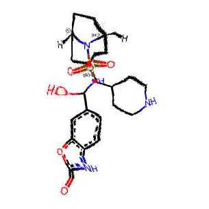 O=c1[nH]c2ccc(C(O)N[C@H]3C[C@H]4CC[C@@H](C3)N4S(=O)(=O)CC3CCNCC3)cc2o1